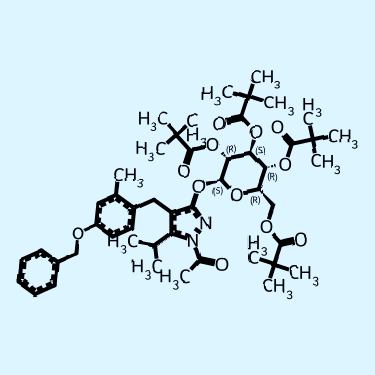 CC(=O)n1nc(O[C@@H]2O[C@H](COC(=O)C(C)(C)C)[C@@H](OC(=O)C(C)(C)C)[C@H](OC(=O)C(C)(C)C)[C@H]2OC(=O)C(C)(C)C)c(Cc2ccc(OCc3ccccc3)cc2C)c1C(C)C